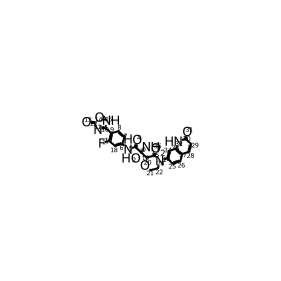 N[C@@](O)(C(=O)Nc1ccc(-c2nc(=O)o[nH]2)c(F)c1)[C@H]1OCCN(c2ccc3ccc(=O)[nH]c3c2)C1=O